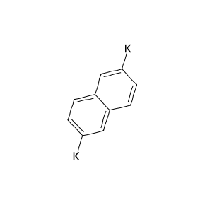 [K][c]1ccc2c[c]([K])ccc2c1